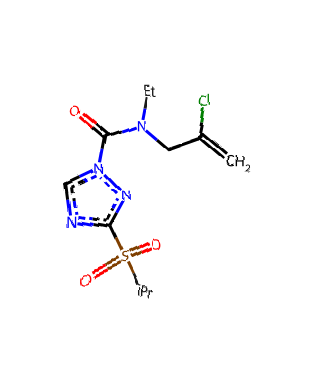 C=C(Cl)CN(CC)C(=O)n1cnc(S(=O)(=O)C(C)C)n1